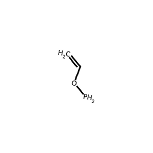 C=COP